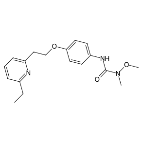 CCc1cccc(CCOc2ccc(NC(=O)N(C)OC)cc2)n1